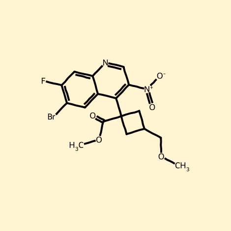 COCC1CC(C(=O)OC)(c2c([N+](=O)[O-])cnc3cc(F)c(Br)cc23)C1